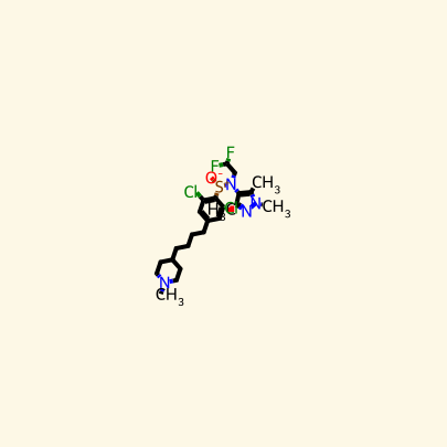 Cc1nn(C)c(C)c1N(CC(F)F)[S+]([O-])c1c(Cl)cc(CCCCC2CCN(C)CC2)cc1Cl